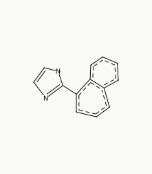 C1=CN=C(c2cccc3ccccc23)[N]1